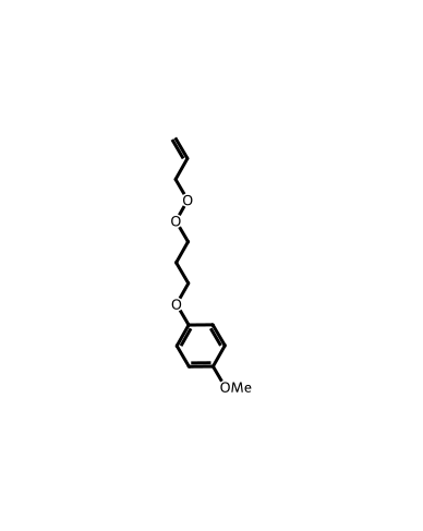 C=CCOOCCCOc1ccc(OC)cc1